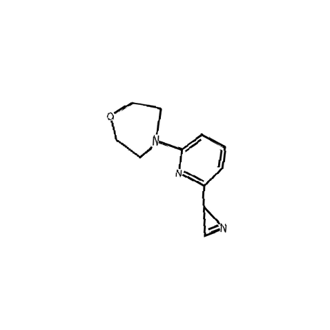 C1=NC1c1cccc(N2CCOCC2)n1